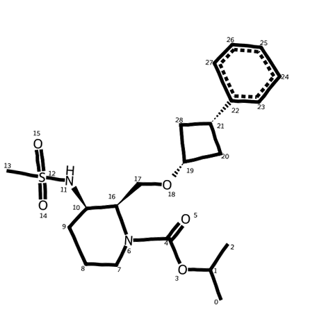 CC(C)OC(=O)N1CCC[C@@H](NS(C)(=O)=O)[C@H]1CO[C@H]1C[C@@H](c2ccccc2)C1